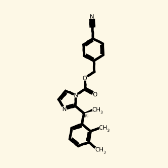 Cc1cccc([C@H](C)c2nccn2C(=O)OCc2ccc(C#N)cc2)c1C